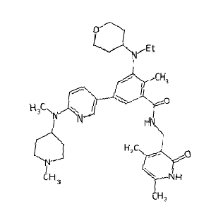 CCN(c1cc(-c2ccc(N(C)C3CCN(C)CC3)nc2)cc(C(=O)NCc2c(C)cc(C)[nH]c2=O)c1C)C1CCOCC1